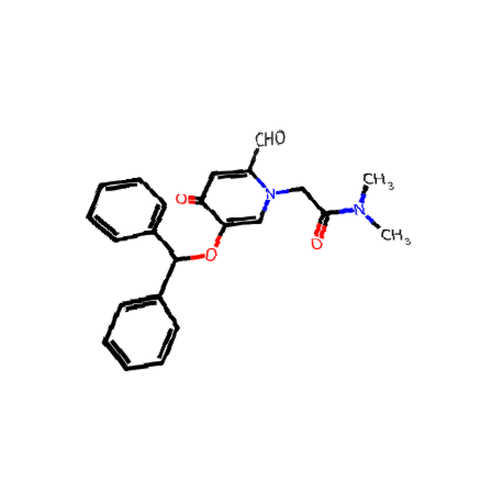 CN(C)C(=O)Cn1cc(OC(c2ccccc2)c2ccccc2)c(=O)cc1C=O